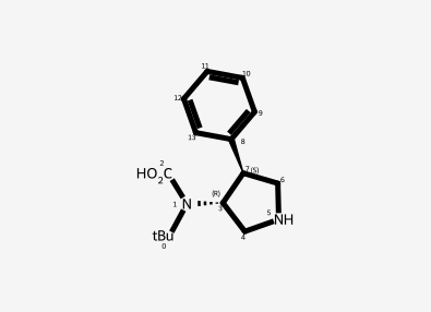 CC(C)(C)N(C(=O)O)[C@H]1CNC[C@@H]1c1ccccc1